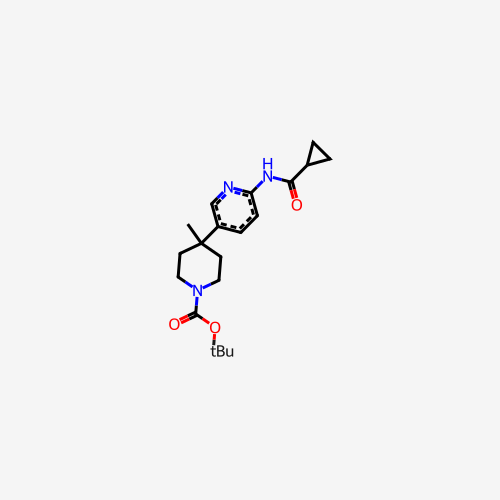 CC(C)(C)OC(=O)N1CCC(C)(c2ccc(NC(=O)C3CC3)nc2)CC1